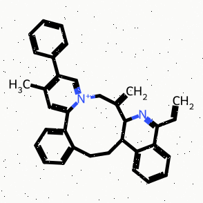 C=CC1=NC2C(=C)C[n+]3cc(-c4ccccc4)c(C)cc3-c3ccccc3CCC2c2ccccc21